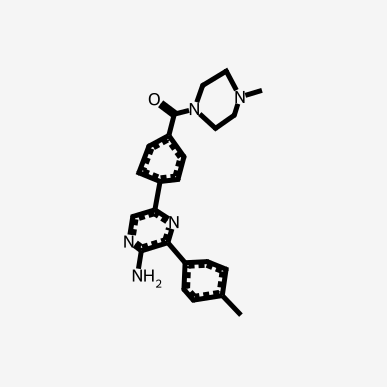 Cc1ccc(-c2nc(-c3ccc(C(=O)N4CCN(C)CC4)cc3)cnc2N)cc1